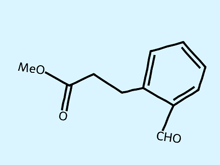 COC(=O)CCc1ccccc1C=O